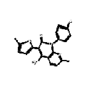 Cc1ccc2c(N)c(-c3ccc(C)o3)c(=O)n(-c3ccc(Cl)cc3)c2n1